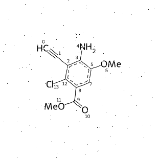 C#Cc1c(N)c(OC)cc(C(=O)OC)c1Cl